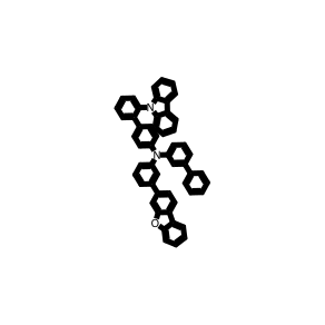 c1ccc(-c2cccc(N(c3ccc(-c4ccccc4-n4c5ccccc5c5ccccc54)cc3)c3cccc(-c4ccc5c(c4)oc4ccccc45)c3)c2)cc1